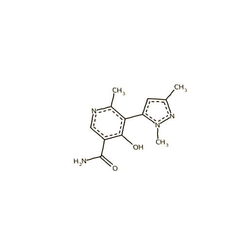 Cc1cc(-c2c(C)ncc(C(N)=O)c2O)n(C)n1